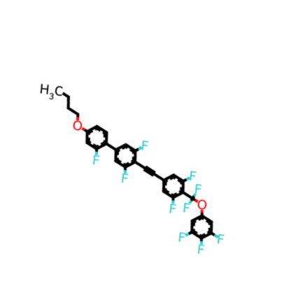 CCCCOc1ccc(-c2cc(F)c(C#Cc3cc(F)c(C(F)(F)Oc4cc(F)c(F)c(F)c4)c(F)c3)c(F)c2)c(F)c1